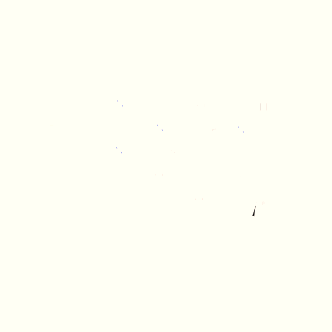 C[C@@H]1CCc2c1c(O)c(C(=O)Nc1ncc(F)cn1)c(=O)n2C